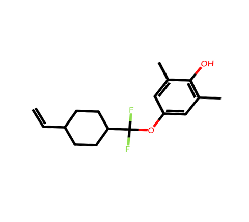 C=CC1CCC(C(F)(F)Oc2cc(C)c(O)c(C)c2)CC1